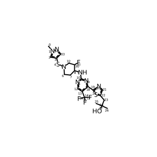 Cn1cc(SN2CCC(Nc3ncc(C(F)(F)F)c(-c4ncc(CC(C)(C)O)s4)n3)C(F)C2)cn1